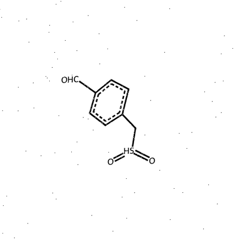 O=Cc1ccc(C[SH](=O)=O)cc1